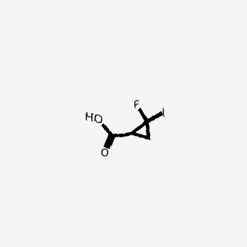 O=C(O)C1CC1(F)I